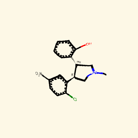 CN1C[C@@H](c2ccccc2O)[C@H](c2cc([N+](=O)[O-])ccc2Cl)C1